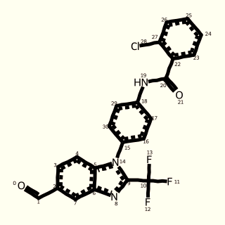 O=Cc1ccc2c(c1)nc(C(F)(F)F)n2-c1ccc(NC(=O)c2ccccc2Cl)cc1